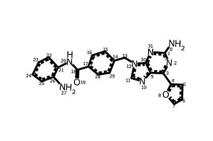 Nc1nc(-c2ccco2)c2ncn(Cc3ccc(C(=O)Nc4ccccc4N)cc3)c2n1